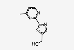 Cc1ccnc(-c2ncc(CO)s2)c1